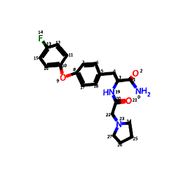 NC(=O)C(Cc1ccc(Oc2ccc(F)cc2)cc1)NC(=O)CN1CCCC1